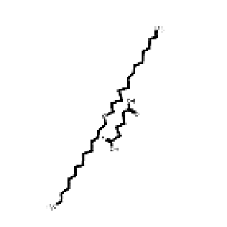 CCCCCCCCCCCCCCOCCCCCCCCCCCCCC.O=C(O)CCCCC(=O)O